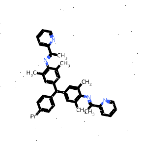 CC(=Nc1c(C)cc(C(c2ccc(C(C)C)cc2)c2cc(C)c(N=C(C)c3ccccn3)c(C)c2)cc1C)c1ccccn1